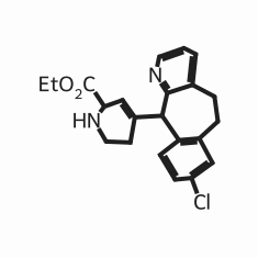 CCOC(=O)C1C=C(C2c3ccc(Cl)cc3CCc3cccnc32)CCN1